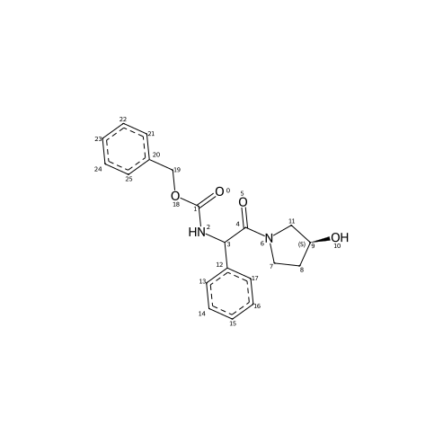 O=C(NC(C(=O)N1CC[C@H](O)C1)c1ccccc1)OCc1ccccc1